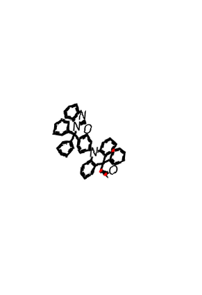 c1ccc(C2(c3ccccc3)c3ccc(N4c5ccccc5C5(c6ccccc6Oc6ccccc65)c5ccccc54)cc3Oc3nc4ccccc4n32)cc1